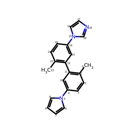 Cc1ccc(-n2cccc2)cc1-c1cc(-n2ccnc2)ccc1C